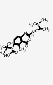 Cc1c(N(C(=O)O)C(C)(C)C)ccc2nc(NCC(C)N(C)C)oc(=O)c12